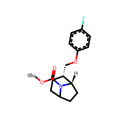 CC(C)(C)OC(=O)N1C2CC[C@H](COc3ccc(F)cc3)[C@@H]1CC2